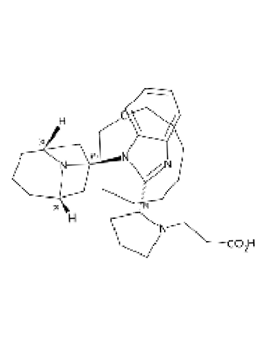 O=C(O)CCN1CCC[C@@H]1c1nc2ccccc2n1[C@@H]1C[C@H]2CCC[C@@H](C1)N2C1CCCCCCCCC1